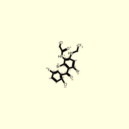 O=C(CCl)Nc1c(NCC(F)(F)F)cc(Br)c(C(=O)c2cc(F)ccc2Cl)c1Br